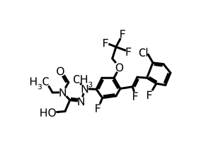 CCN(C=O)/C(CO)=N\N(C)c1cc(OCC(F)(F)F)c(/C(F)=C/c2c(F)cccc2Cl)cc1F